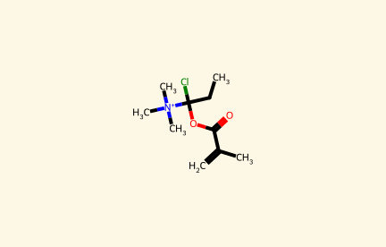 C=C(C)C(=O)OC(Cl)(CC)[N+](C)(C)C